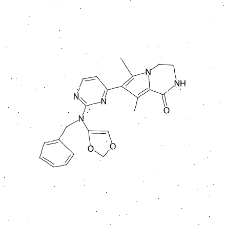 Cc1c(-c2ccnc(N(Cc3ccccc3)C3=COCO3)n2)c(C)n2c1C(=O)NCC2